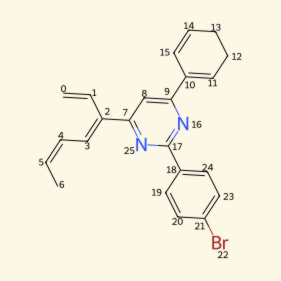 C=C/C(=C\C=C/C)c1cc(C2=CCCC=C2)nc(-c2ccc(Br)cc2)n1